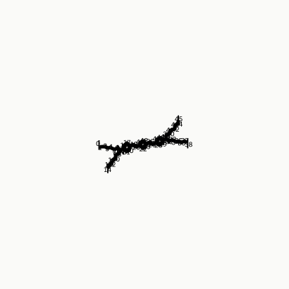 ICCCCCCN(CCCCCCI)c1ccc(C=Cc2ccc(C=Cc3ccc(N(CCCCCCI)CCCCCCI)cc3)cc2)cc1